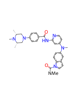 CNC(=O)n1ccc2cc(N(C)c3ccnc(NC(=O)c4ccc(N5C[C@@H](C)N(C)[C@@H](C)C5)cc4)c3)ccc21